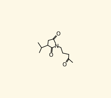 CC(=O)CCCN1C(=O)CC(C(C)C)C1=O